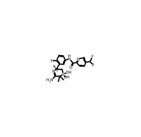 CC1(C)C(N)=N[C@](C)(c2cc(NC(=O)c3ccc(C(F)F)cn3)ccc2F)CS1(O)O